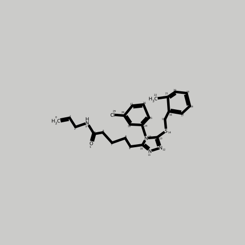 C=CCNC(=O)CCCCc1nnc(SCc2ccccc2C)n1-c1cccc(Cl)c1